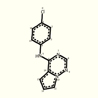 Clc1ccc(Nc2ncnn3cccc23)cc1